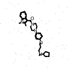 Cc1c(C(=O)N2CCN(c3ccc(OCCCN(C)C4CCCC4)cc3)CC2)c2ccccc2n1C